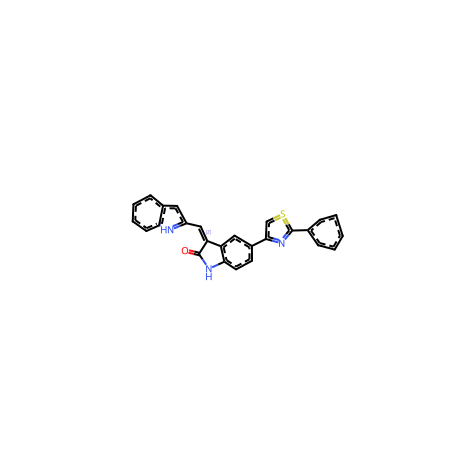 O=C1Nc2ccc(-c3csc(-c4ccccc4)n3)cc2/C1=C/c1cc2ccccc2[nH]1